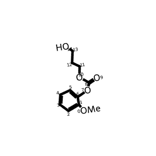 COc1ccccc1OC(=O)OCCCO